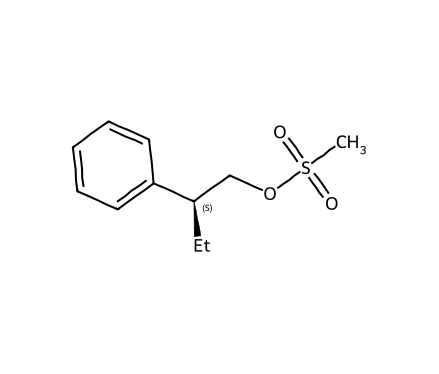 CC[C@H](COS(C)(=O)=O)c1ccccc1